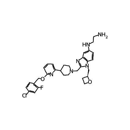 NCCNc1ccc2c(c1)nc(CN1CCC(c3cccc(OCc4ccc(Cl)cc4F)n3)CC1)n2C[C@@H]1CCO1